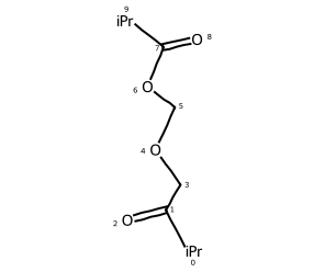 CC(C)C(=O)COCOC(=O)C(C)C